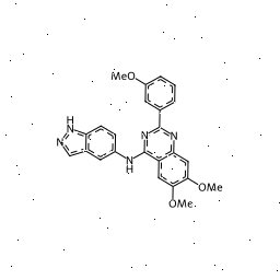 COc1cccc(-c2nc(Nc3ccc4[nH]ncc4c3)c3cc(OC)c(OC)cc3n2)c1